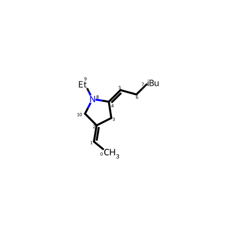 C/C=C1\C/C(=C\CC(C)CC)N(CC)C1